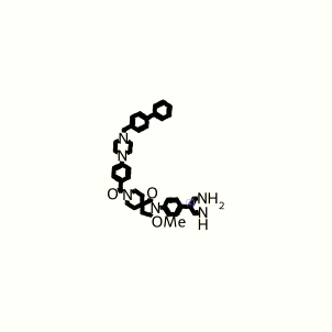 COc1cc(N2CCC3(CCN(C(=O)c4ccc(N5CCN(Cc6ccc(-c7ccccc7)cc6)CC5)cc4)CC3)C2=O)ccc1/C(C=N)=C/N